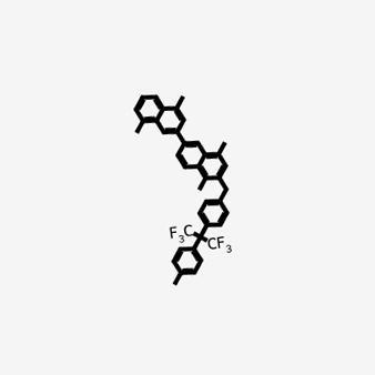 Cc1ccc(C(c2ccc(Cc3cc(C)c4cc(-c5cc(C)c6cccc(C)c6c5)ccc4c3C)cc2)(C(F)(F)F)C(F)(F)F)cc1